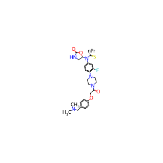 CCCC(=S)N(c1ccc(N2CCN(C(=O)COc3ccc(CN(C)C)cc3)CC2)c(F)c1)C1CNC(=O)O1